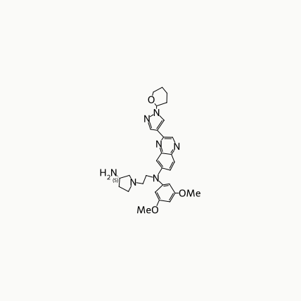 COc1cc(OC)cc(N(CCN2CC[C@H](N)C2)c2ccc3ncc(-c4cnn(C5CCCCO5)c4)nc3c2)c1